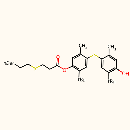 CCCCCCCCCCCCSCCC(=O)Oc1cc(C)c(Sc2cc(C(C)(C)C)c(O)cc2C)cc1C(C)(C)C